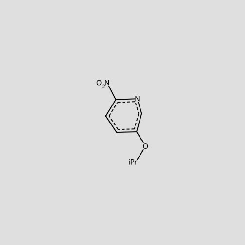 CC(C)Oc1ccc([N+](=O)[O-])nc1